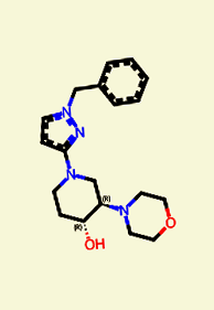 O[C@@H]1CCN(c2ccn(Cc3ccccc3)n2)C[C@H]1N1CCOCC1